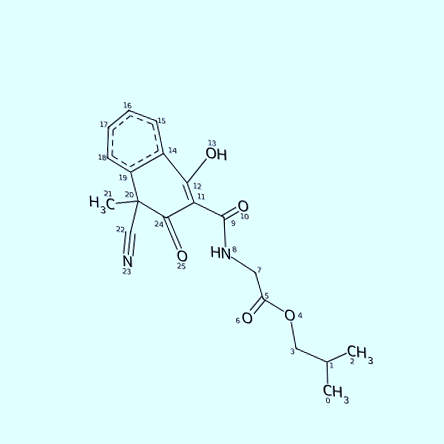 CC(C)COC(=O)CNC(=O)C1=C(O)c2ccccc2C(C)(C#N)C1=O